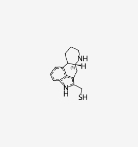 SCc1[nH]c2cccc3c2c1C[C@H]1NCCCC31